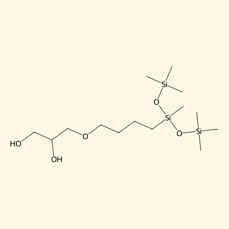 C[Si](C)(C)O[Si](C)(CCCCOCC(O)CO)O[Si](C)(C)C